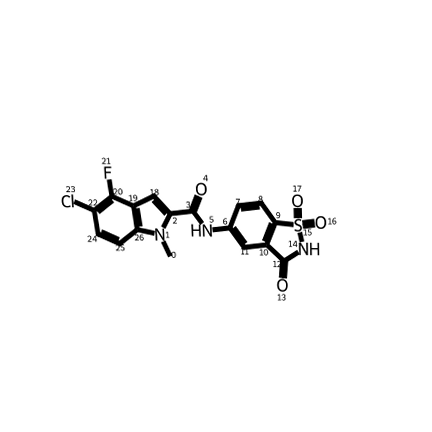 Cn1c(C(=O)Nc2ccc3c(c2)C(=O)NS3(=O)=O)cc2c(F)c(Cl)ccc21